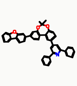 CC1(C)Oc2cc(-c3ccc4c(c3)oc3ccccc34)ccc2-c2cc(-c3cc(-c4ccccc4)nc(-c4ccccc4)c3)ccc2O1